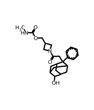 CNC(=O)OCC1CN(C(=O)CC2(c3ccccc3)C3CC4CC2CC(C3)C4O)C1